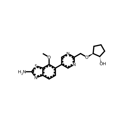 COc1c(-c2cnc(CO[C@H]3CCC[C@@H]3O)nc2)ccc2nc(N)sc12